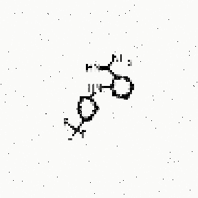 N=C(N)c1ccccc1Nc1ccc(C(F)(F)F)cc1